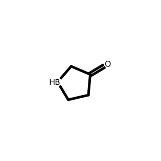 O=C1CBCC1